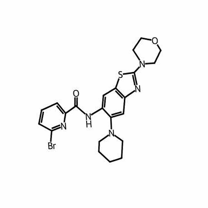 O=C(Nc1cc2sc(N3CCOCC3)nc2cc1N1CCCCC1)c1cccc(Br)n1